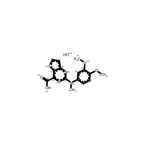 COc1ccc(N(C)c2nc(C(=O)O)c3sccc3n2)cc1OC.Cl